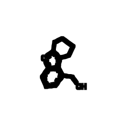 OCc1cccc2oc3c(c12)CCCC3